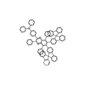 C1=CC2=C(CC1)c1ccccc1C21c2ccccc2-c2ccc(-c3c(-c4ccc5c(c4)C4(c6ccccc6-c6ccccc64)c4ccccc4-5)c(-c4ccccc4)c4nc(-c5ccc(N(c6ccccc6)c6ccccc6)cc5)c(-c5ccccc5)nc4c3-c3ccccc3)cc21